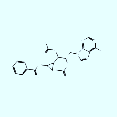 CC(=O)OC(C1CC1OC(=O)c1ccccc1)[C@@H](Cn1cnc2c(Cl)ncnc21)OC(C)=O